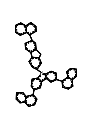 c1ccc2c(-c3ccc4c(c3)Cc3cc(-n5c6ccc(-c7cccc8ccccc78)cc6c6cc(-c7cccc8ccccc78)ccc65)ccc3-4)cccc2c1